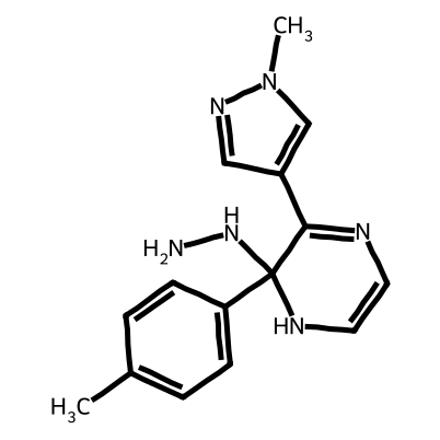 Cc1ccc(C2(NN)NC=CN=C2c2cnn(C)c2)cc1